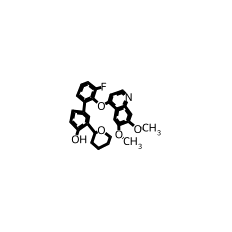 COc1cc2nccc(Oc3c(F)cccc3-c3ccc(O)c(C4CCCCO4)c3)c2cc1OC